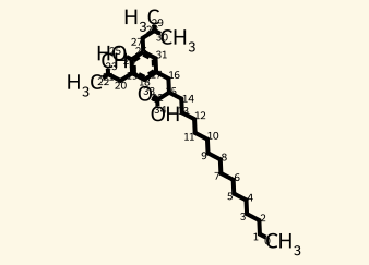 CCCCCCCCCCCCCCCC(Cc1cc(CC(C)C)c(O)c(CC(C)C)c1)C(=O)O